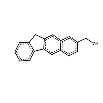 OCc1ccc2cc3c(cc2c1)Cc1ccccc1-3